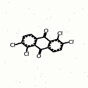 O=C1c2ccc(Cl)c(Cl)c2C(=O)c2ccc(Cl)c(Cl)c21